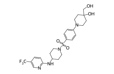 O=S(=O)(c1ccc(N2CCC(O)(CO)CC2)cc1)N1CCC(Nc2ccc(C(F)(F)F)cn2)CC1